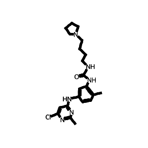 Cc1nc(Cl)cc(Nc2ccc(C)c(NC(=O)NCCCCN3CCCC3)c2)n1